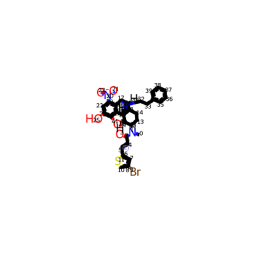 CN(C(=O)/C=C/c1cc(Br)cs1)[C@@H]1CC[C@H]2[C@H]3Cc4c([N+](=O)[O-])cc(O)c5c4[C@@]2(CCN3CCc2ccccc2)[C@H]1O5